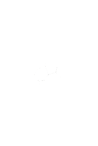 CC(C)[C]1CNCCN1C